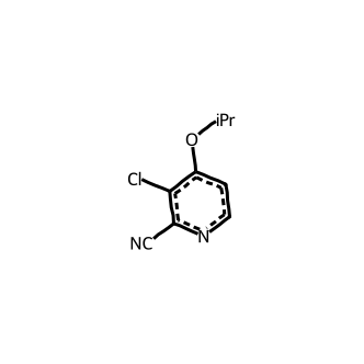 CC(C)Oc1ccnc(C#N)c1Cl